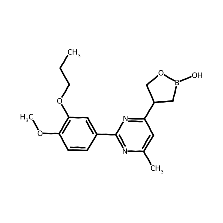 CCCOc1cc(-c2nc(C)cc(C3COB(O)C3)n2)ccc1OC